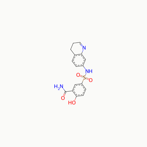 NC(=O)c1cc(S(=O)(=O)Nc2ccc3c(c2)N=CCC3)ccc1O